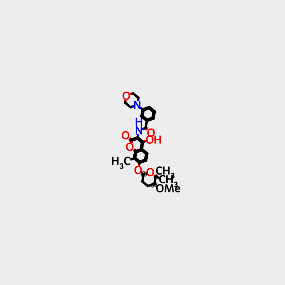 CO[C@@H]1CC[C@H](Oc2ccc3c(O)c(NC(=O)c4cccc(N5CCOCC5)c4)c(=O)oc3c2C)OC1(C)C